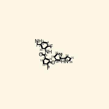 NCc1ccc(F)c(NC(=O)c2ccc(F)c(Oc3ccnc(-c4c[c]c[nH]4)c3)c2)c1